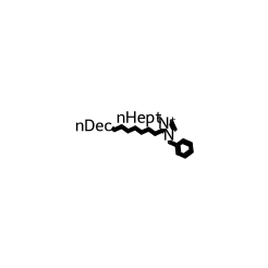 CCCCCCCCCCCCCCCCCc1n(Cc2ccccc2)cc[n+]1CCCCCCC